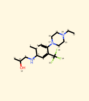 C/C=C(\C(=C/C(CC)NCC(C)O)C(F)(F)F)N1CCN(CC)CC1